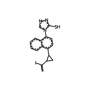 C=C(I)C1CC1c1ccc(-n2cnnc2S)c2ccccc12